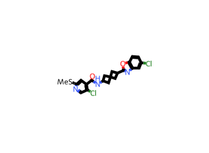 CSc1cc(C(=O)NC2CC3(C2)CC(c2nc4cc(Cl)ccc4o2)C3)c(Cl)cn1